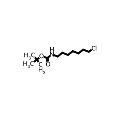 CC(C)(C)OC(=O)NCCCCCCCCl